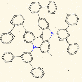 Cc1cc2c3c(c1)N(c1cc(-c4ccccc4)cc(-c4ccccc4)c1)c1ccc(-c4ccccc4-c4ccccc4)cc1B3c1cc(-c3ccccc3-c3ccccc3)ccc1N2c1cc(-c2ccccc2)cc(-c2ccccc2)c1